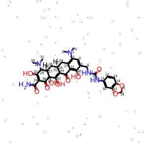 CN(C)c1cc(CNC(=O)Nc2ccc3c(c2)OCO3)c(O)c2c1C[C@@H]1C[C@@H]3[C@@H](N(C)C)C(O)=C(C(N)=O)C(=O)[C@]3(O)C(O)=C1C2=O